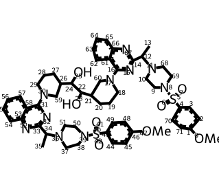 COc1ccc(S(=O)(=O)N2CCN(C(C)c3nc(N4CCCC(C(O)C(O)C5CCCN(c6nc(C(C)N7CCN(S(=O)(=O)c8ccc(OC)cc8)CC7)nc7ccccc67)C5)C4)c4ccccc4n3)CC2)cc1